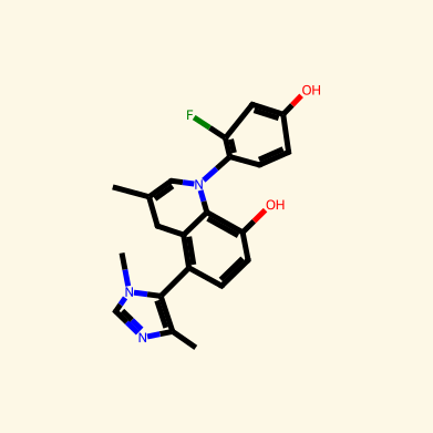 CC1=CN(c2ccc(O)cc2F)c2c(O)ccc(-c3c(C)ncn3C)c2C1